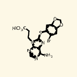 Nc1ncnc2c1nc(Sc1cc3c(cc1Br)OCO3)n2CCC(=O)O